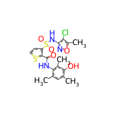 Cc1cc(C)c(NC(=O)c2sccc2S(=O)(=O)Nc2noc(C)c2Cl)c(C)c1O